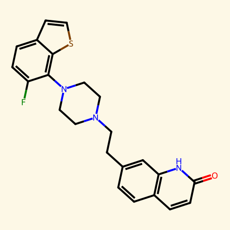 O=c1ccc2ccc(CCN3CCN(c4c(F)ccc5ccsc45)CC3)cc2[nH]1